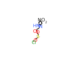 CS(C)(CCOCCl)CCOC(=O)CCc1nc2ccc([N+](=O)[O-])cc2[nH]1